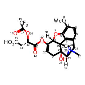 COc1ccc2c3c1O[C@H]1C(OC(=O)[C@H](CC(=O)O)OC(=O)C(F)(F)F)=CC[C@@]4(O)[C@@H](C2)N(C)CC[C@]314